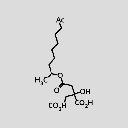 CC(=O)CCCCCCC(C)OC(=O)CC(O)(CC(=O)O)C(=O)O